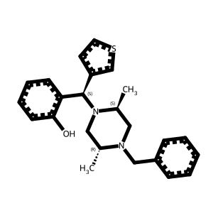 C[C@@H]1CN([C@H](c2ccsc2)c2ccccc2O)[C@@H](C)CN1Cc1ccccc1